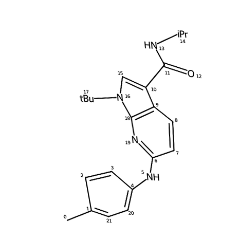 Cc1ccc(Nc2ccc3c(C(=O)NC(C)C)cn(C(C)(C)C)c3n2)cc1